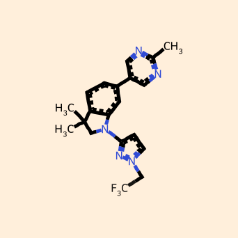 Cc1ncc(-c2ccc3c(c2)N(c2ccn(CC(F)(F)F)n2)CC3(C)C)cn1